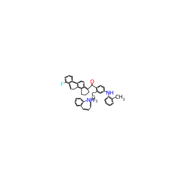 C1=CNc2ccccc2C=C1.Cc1ccccc1Nc1ccc(C(=O)C2=c3ccc4c(c3CCC2)CC=c2c(F)cccc2=4)c(C)c1